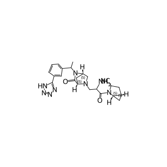 CC(c1cccc(-c2nnn[nH]2)c1)N1C(=O)[C@@H]2C[C@H]1CN2CC(N)C(=O)N1C(C#N)C[C@@H]2C[C@@H]21